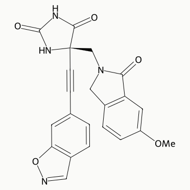 COc1ccc2c(c1)C(=O)N(C[C@@]1(C#Cc3ccc4cnoc4c3)NC(=O)NC1=O)C2